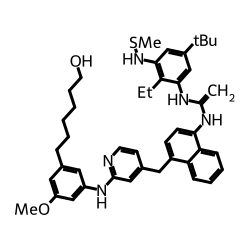 C=C(Nc1cc(C(C)(C)C)cc(NSC)c1CC)Nc1ccc(Cc2ccnc(Nc3cc(CCCCCCO)cc(OC)c3)c2)c2ccccc12